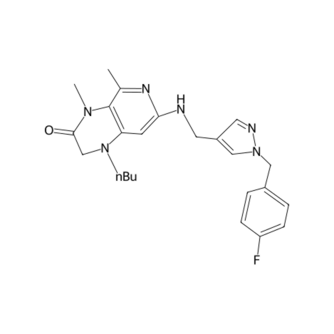 CCCCN1CC(=O)N(C)c2c1cc(NCc1cnn(Cc3ccc(F)cc3)c1)nc2C